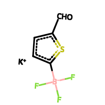 O=Cc1ccc([B-](F)(F)F)s1.[K+]